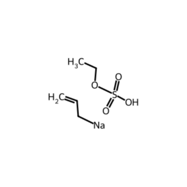 C=C[CH2][Na].CCOS(=O)(=O)O